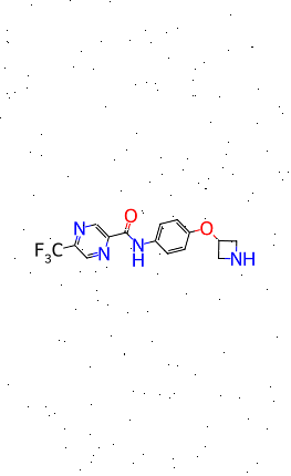 O=C(Nc1ccc(OC2CNC2)cc1)c1cnc(C(F)(F)F)cn1